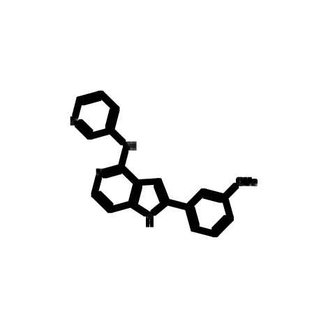 COc1cccc(-c2cc3c(Nc4cccnc4)nccc3[nH]2)c1